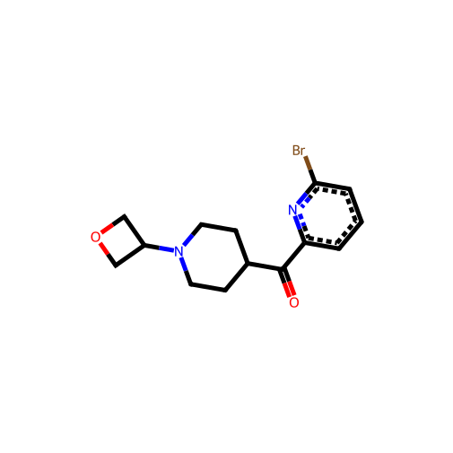 O=C(c1cccc(Br)n1)C1CCN(C2COC2)CC1